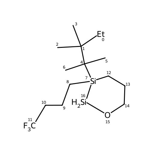 CCC(C)(C)C(C)(C)[Si]1(CCCC(F)(F)F)CCCO[SiH2]1